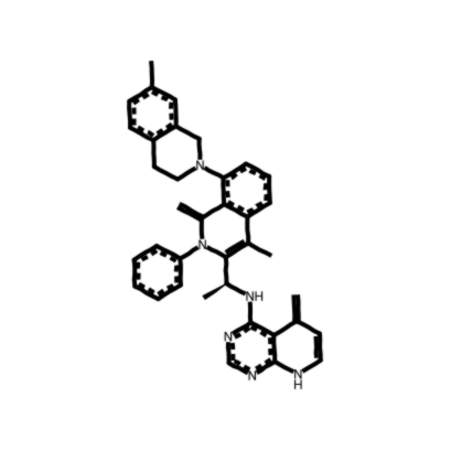 C=C1C=CNc2ncnc(N[C@@H](C)C3=C(C)c4cccc(N5CCc6ccc(C)cc6C5)c4C(=C)N3c3ccccc3)c21